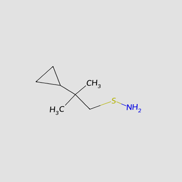 CC(C)(CSN)C1CC1